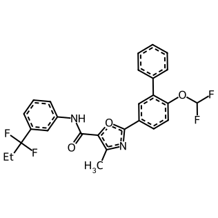 CCC(F)(F)c1cccc(NC(=O)c2oc(-c3ccc(OC(F)F)c(-c4ccccc4)c3)nc2C)c1